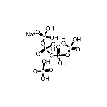 O=P(O)(O)OP(=O)(O)OP(=O)(O)OP(=O)(O)O.O=P([O-])(O)O.[Na+]